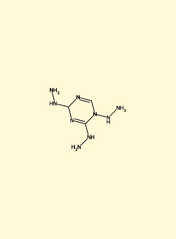 NNC1=NC(NN)N=CN1NN